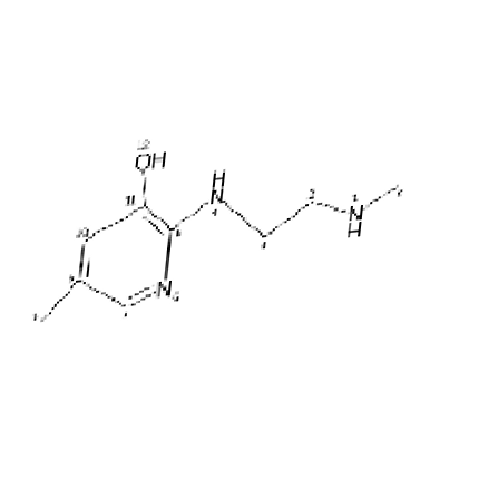 CNCCNc1ncc(C)cc1O